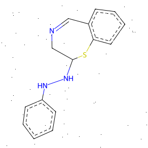 C1=NCC(NNc2ccccc2)Sc2ccccc21